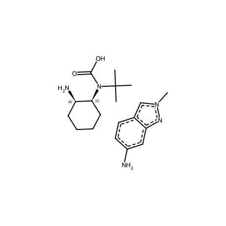 CC(C)(C)N(C(=O)O)[C@H]1CCCC[C@H]1N.Cn1cc2ccc(N)cc2n1